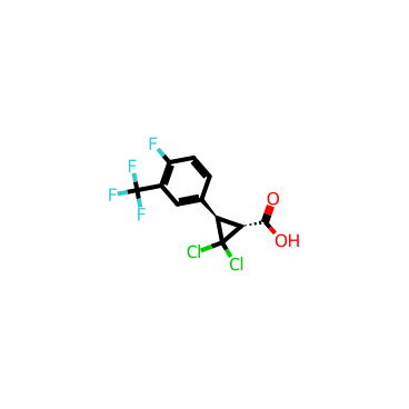 O=C(O)[C@H]1[C@H](c2ccc(F)c(C(F)(F)F)c2)C1(Cl)Cl